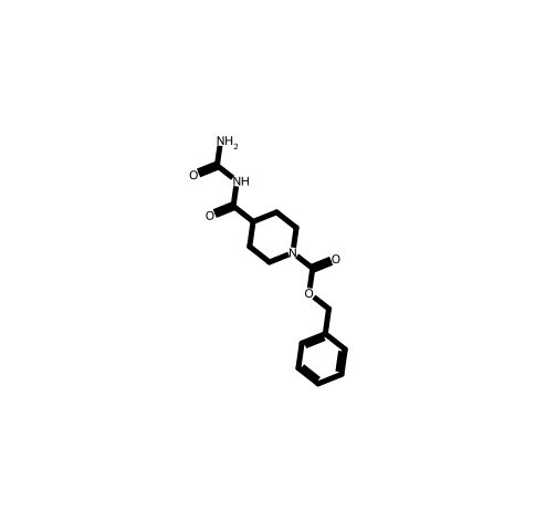 NC(=O)NC(=O)C1CCN(C(=O)OCc2ccccc2)CC1